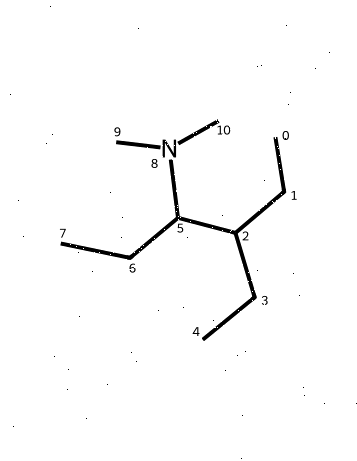 CCC(CC)C(CC)N(C)C